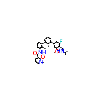 COc1cc(-c2cccc(-c3cccc(NC(=O)c4cccn(C)c4=O)c3C)c2C)cc(F)c1CNC(C)C